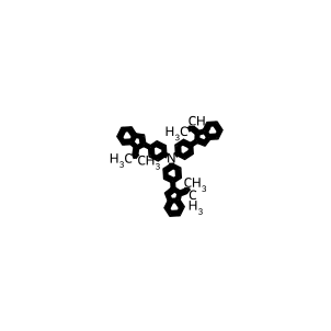 CC(C)=C1C(c2ccc(N(c3ccc(C4=Cc5ccccc5C4=C(C)C)cc3)c3ccc(C4=Cc5ccccc5C4=C(C)C)cc3)cc2)=Cc2ccccc21